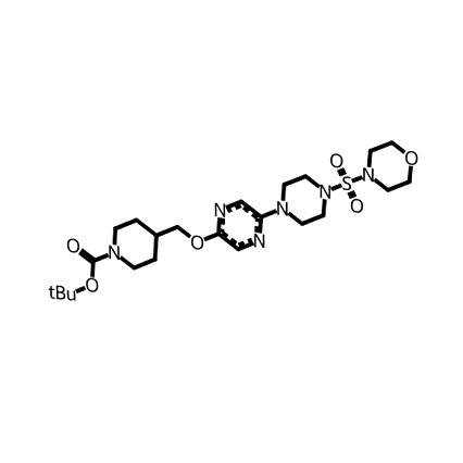 CC(C)(C)OC(=O)N1CCC(COc2cnc(N3CCN(S(=O)(=O)N4CCOCC4)CC3)cn2)CC1